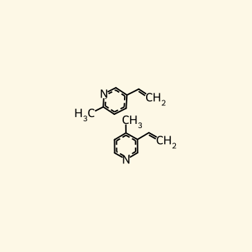 C=Cc1ccc(C)nc1.C=Cc1cnccc1C